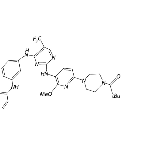 C=CC(=O)Nc1cccc(Nc2nc(Nc3ccc(N4CCN(C(=O)C(C)(C)C)CC4)nc3OC)ncc2C(F)(F)F)c1